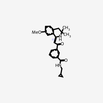 COc1ccc2c(c1)/C(=C/C(=O)c1cccc(C(=O)NCC3CC3)c1)NC(C)(C)C2